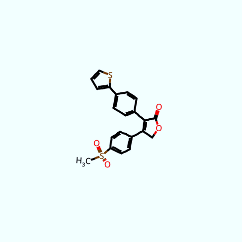 CS(=O)(=O)c1ccc(C2=C(c3ccc(-c4cccs4)cc3)C(=O)OC2)cc1